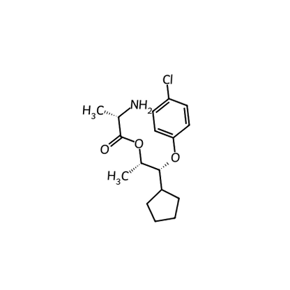 C[C@H](N)C(=O)O[C@@H](C)[C@H](Oc1ccc(Cl)cc1)C1CCCC1